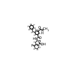 CNC(=O)c1cc(C(=O)NCCC2C(F)CCCN2C(=O)O)cc(Cc2ccccc2)n1